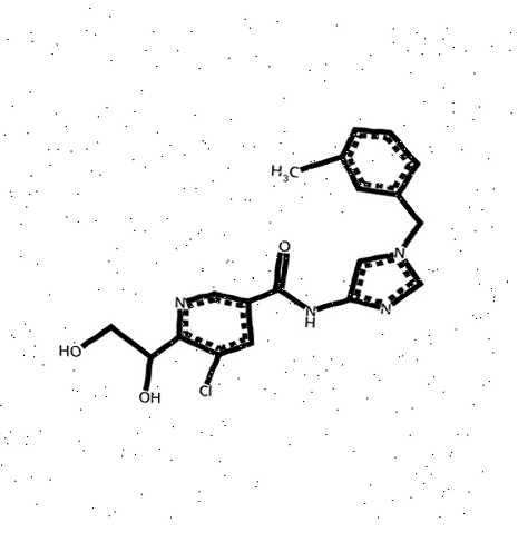 Cc1cccc(Cn2cnc(NC(=O)c3cnc(C(O)CO)c(Cl)c3)c2)c1